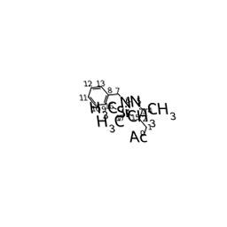 CC(=O)CCC(C)=NN(Cc1ccccc1)[Si](C)(C)C